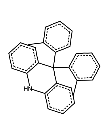 Cc1ccccc1C1(c2ccccc2C)c2ccccc2Nc2ccccc21